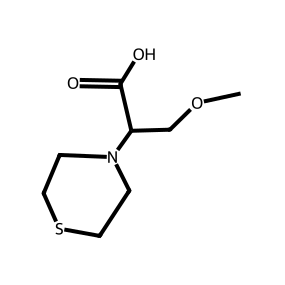 COCC(C(=O)O)N1CCSCC1